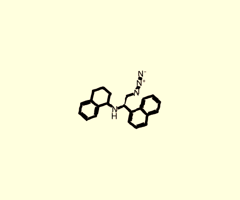 [N-]=[N+]=NC[C@H](NC1CCCc2ccccc21)c1cccc2ccccc12